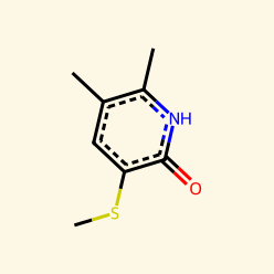 CSc1cc(C)c(C)[nH]c1=O